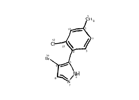 Cc1ccc(-c2[nH]ncc2Br)c(Cl)c1